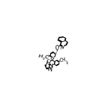 Cc1ccc(-n2nccn2)c(C(=O)N2C[C@@H](COc3nccc4ccccc34)CC[C@H]2C)c1